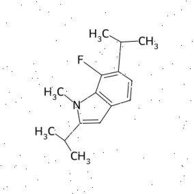 CC(C)c1ccc2cc(C(C)C)n(C)c2c1F